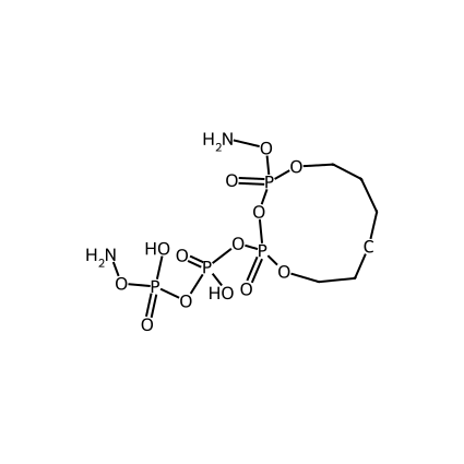 NOP(=O)(O)OP(=O)(O)OP1(=O)OCCCCCCOP(=O)(ON)O1